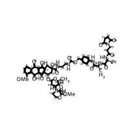 COc1cccc2c1C(=O)c1c(O)c3c(c(O)c1C2=O)C[C@@](O)(C(=O)NCCNC(=O)OCc1ccc(NC(=O)[C@H](C)NC(=O)[C@@H](NC(=O)CCN2C(=O)C=CC2=O)C(C)C)cc1)C[C@@H]3O[C@H]1C[C@H]2[C@H](O[C@@H]3[C@@H](OC)OCCN32)[C@H](C)O1